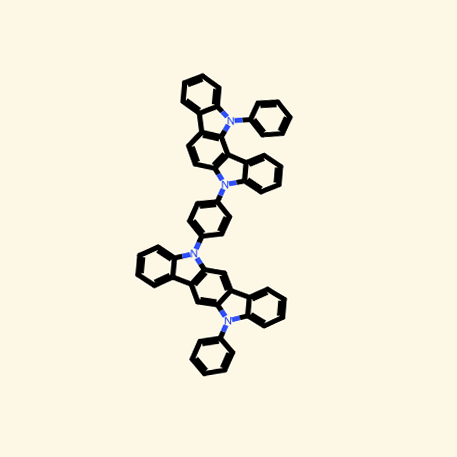 c1ccc(-n2c3ccccc3c3cc4c(cc32)c2ccccc2n4-c2ccc(-n3c4ccccc4c4c3ccc3c5ccccc5n(-c5ccccc5)c34)cc2)cc1